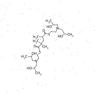 CC(O)CN(CCSC(=O)C(C)CC(C)(C)C(=O)SCCN(CC(C)O)CC(C)O)CC(C)O